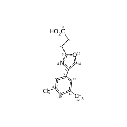 O=C(O)CCc1nc(-c2cc(Cl)cc(C(F)(F)F)c2)co1